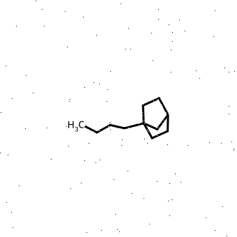 CC[CH]CC12CCC(CC1)C2